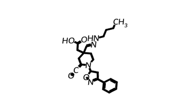 CCCCNN=CC1(CC(=O)O)CCN(C2CC(c3ccccc3)=NO2)C(=C=O)C1